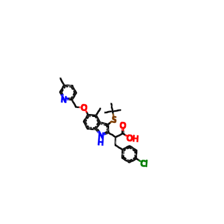 Cc1ccc(COc2ccc3[nH]c(C(Cc4ccc(Cl)cc4)C(=O)O)c(SC(C)(C)C)c3c2C)nc1